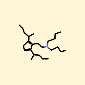 CCCCN(CCCC)CCC1=C(C(C)CCC)CC=C1C(C)CCC